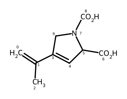 C=C(C)C1=CC(C(=O)O)N(C(=O)O)C1